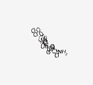 COc1cc(N)c(Cl)cc1C(=O)NCC1CCN(C(C)(COc2cccc(Cl)c2Cl)C2CCCCN2C(=O)O)CC1